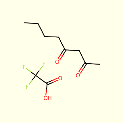 CCCCC(=O)CC(C)=O.O=C(O)C(F)(F)F